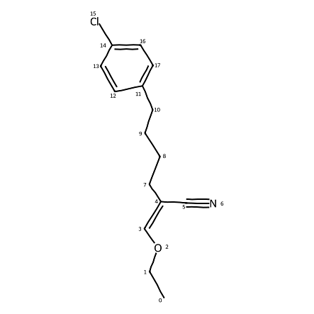 CCO/C=C(\C#N)CCCCc1ccc(Cl)cc1